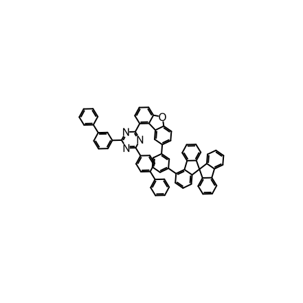 c1ccc(-c2ccc(-c3nc(-c4cccc(-c5ccccc5)c4)nc(-c4cccc5oc6ccc(-c7cccc(-c8cccc9c8-c8ccccc8C98c9ccccc9-c9ccccc98)c7)cc6c45)n3)cc2)cc1